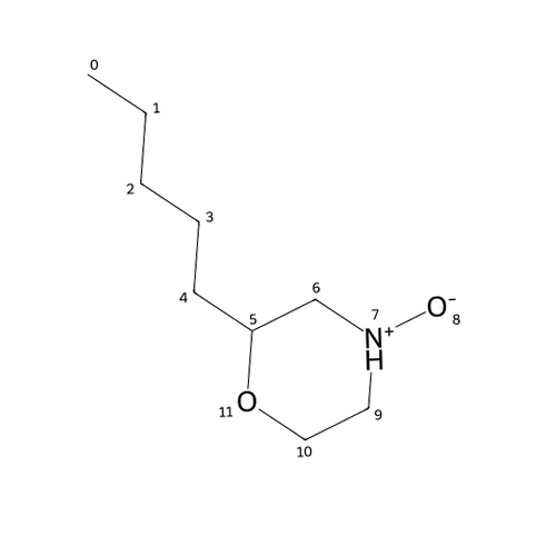 CCCCCC1C[NH+]([O-])CCO1